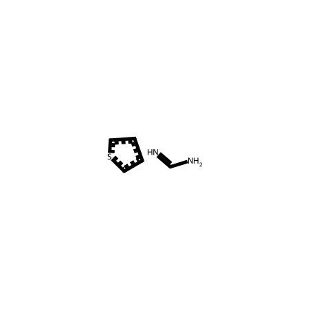 N=CN.c1ccsc1